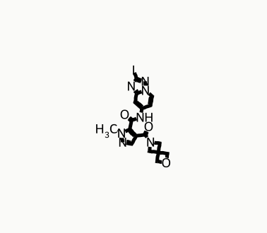 Cn1ncc(C(=O)N2CC3(COC3)C2)c1C(=O)Nc1ccn2nc(I)nc2c1